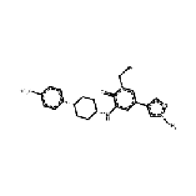 CC(C)Cn1cc(-c2cnn(C)c2)cc(N[C@H]2CC[C@@H](c3ccc(C(=O)O)cc3)CC2)c1=O